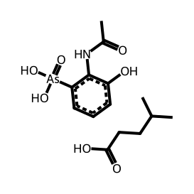 CC(=O)Nc1c(O)cccc1[As](=O)(O)O.CC(C)CCC(=O)O